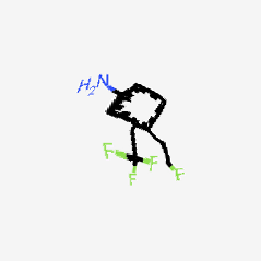 Nc1ccc(CCF)c(C(F)(F)F)c1